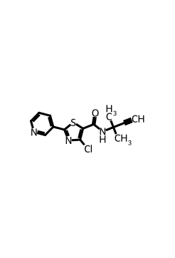 C#CC(C)(C)NC(=O)c1sc(-c2cccnc2)nc1Cl